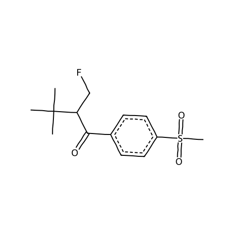 CC(C)(C)C(CF)C(=O)c1ccc(S(C)(=O)=O)cc1